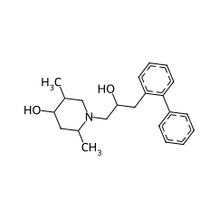 CC1CN(CC(O)Cc2ccccc2-c2ccccc2)C(C)CC1O